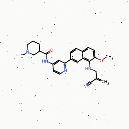 C=C(C#N)CNc1c(OC)ccc2ccc(-c3cc(NC(=O)C4CCCN(C)C4)ccn3)cc12